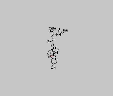 CC(C)COC(=O)C(COC(=O)OC[N+]1(C)CC[C@]23CCCC[C@H]2[C@H]1Cc1ccc(O)cc13)NC(=O)OC(C)(C)C